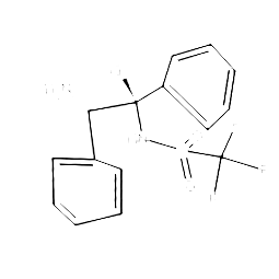 N[C@@H](c1ccccc1)[C@@](Cl)(NS(=O)(=O)C(F)(F)F)c1ccccc1